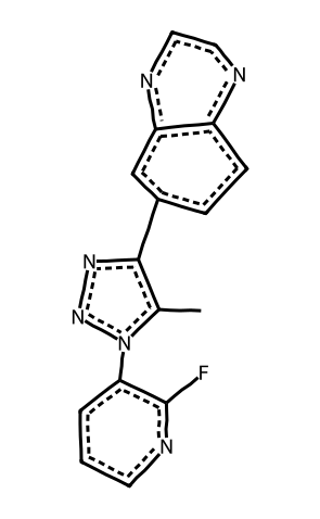 Cc1c(-c2ccc3nccnc3c2)nnn1-c1cccnc1F